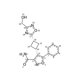 NC(=O)c1noc(-c2ccccc2)c1[C@H]1C[C@@H](c2nc(CO)no2)C1